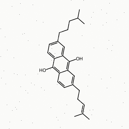 CC(C)=CCCc1ccc2c(O)c3ccc(CCCC(C)C)cc3c(O)c2c1